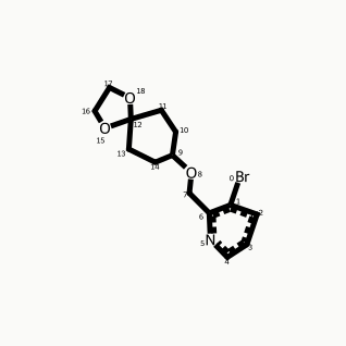 Brc1cccnc1COC1CCC2(CC1)OCCO2